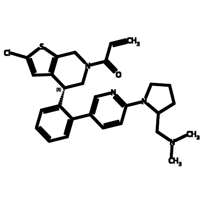 C=CC(=O)N1Cc2sc(Cl)cc2[C@@H](c2ccccc2-c2ccc(N3CCCC3CN(C)C)nc2)C1